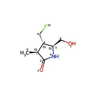 C[C@@H]1C(=O)N[C@H](CO)[C@H]1CF